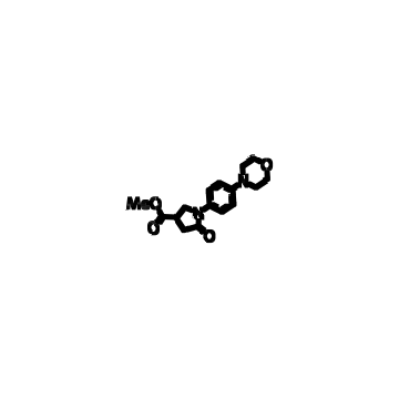 COC(=O)C1CC(=O)N(c2ccc(N3CCOCC3)cc2)C1